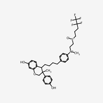 C[N+](CC[S+]([O-])CCCC(F)(F)C(F)(F)F)c1ccc(CCCCC2c3ccc(O)cc3OCC2(C)c2ccc(O)cc2)cc1